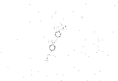 CC(C)(C)S(=O)(=O)Nc1ccc(CNc2ccc(OCC3CC3)cc2)cc1